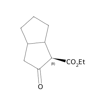 CCOC(=O)[C@H]1C(=O)CC2CCCC21